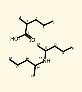 CCCC(C)C(=O)O.CCCC(C)NC(C)CCC